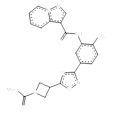 COC(=O)N1CC(c2nc(-c3ccc(C)c(NC(=O)c4cnn5ccccc45)c3)no2)C1